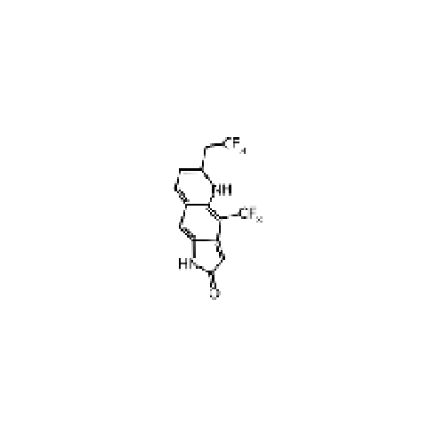 O=c1cc2c(C(F)(F)F)c3[nH]c(CC(F)(F)F)ccc3cc2[nH]1